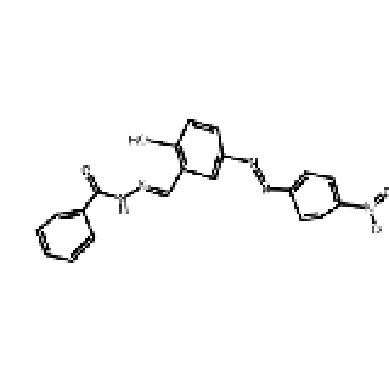 O=C(NN=Cc1cc(N=Nc2ccc([N+](=O)[O-])cc2)ccc1O)c1ccccc1